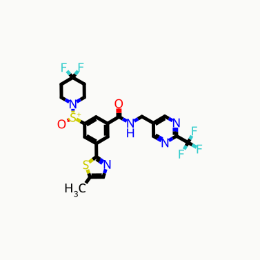 Cc1cnc(-c2cc(C(=O)NCc3cnc(C(F)(F)F)nc3)cc([S+]([O-])N3CCC(F)(F)CC3)c2)s1